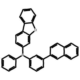 c1ccc(N(c2cccc(-c3ccc4ccccc4c3)c2)c2ccc3c(c2)oc2ccccc23)cc1